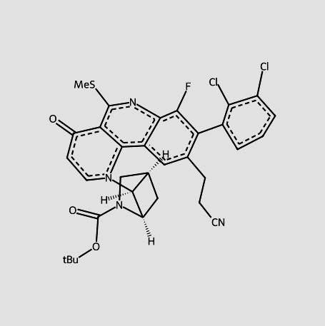 CSc1nc2c(F)c(-c3cccc(Cl)c3Cl)c(CCC#N)cc2c2c1c(=O)ccn2[C@H]1[C@@H]2C[C@H]1N(C(=O)OC(C)(C)C)C2